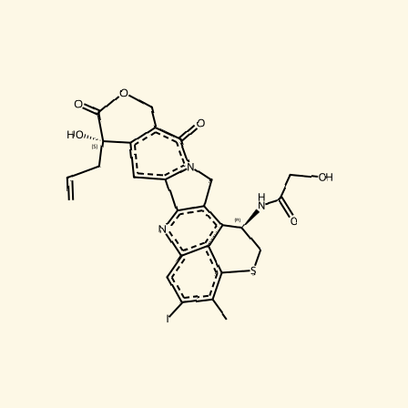 C=CC[C@@]1(O)C(=O)OCc2c1cc1n(c2=O)Cc2c-1nc1cc(I)c(C)c3c1c2[C@@H](NC(=O)CO)CS3